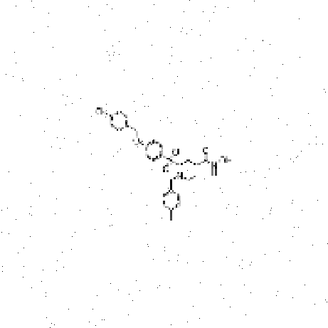 Cc1ccc(CN2CCC(C(=O)NO)CC2S(=O)(=O)c2ccc(OCc3ccc(Cl)cc3)cc2)cc1